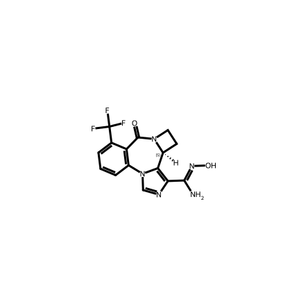 NC(=NO)c1ncn2c1[C@@H]1CCN1C(=O)c1c-2cccc1C(F)(F)F